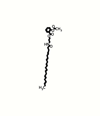 CCC=CCC=CCC=CCC=CCC=CCC=CCCC(=O)NCCCOC(=O)c1ccccc1OC(C)=O